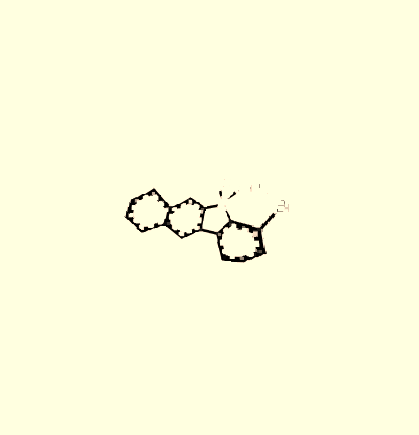 C[Si]1(C)c2cc3ccccc3cc2-c2cccc(Br)c21